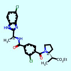 CCOC(=O)C(C)[C@H]1CCCN1C(=O)c1ccc(C(=O)N[C@@H](C)c2nc3cc(Cl)ccc3[nH]2)cc1Cl